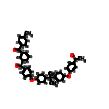 CC(=O)c1ccc(Oc2ccc(C(C)(C)c3ccc(Oc4ccc(C(=O)c5cccc(C(=O)c6ccc(C)cc6)c5)cc4)cc3)cc2)cc1